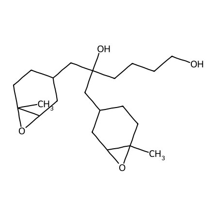 CC12CCC(CC(O)(CCCCO)CC3CCC4(C)OC4C3)CC1O2